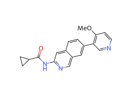 COc1ccncc1-c1ccc2cc(NC(=O)C3CC3)ncc2c1